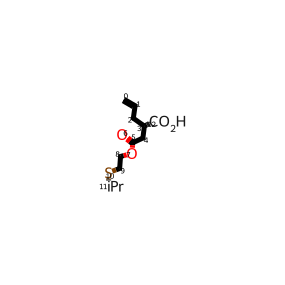 C=CCC(CC(=O)OCCSC(C)C)C(=O)O